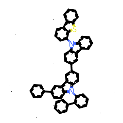 c1ccc(-c2ccc3c(c2)c2cc(-c4ccc5c(c4)c4ccccc4n5-c4cccc5c4sc4ccccc45)ccc2n3-c2ccccc2-c2ccccc2)cc1